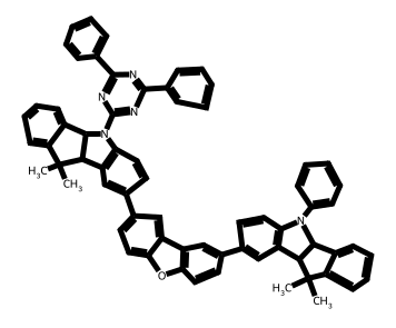 CC1(C)c2ccccc2C2C1c1cc(-c3ccc4oc5ccc(-c6ccc7c(c6)C6C(c8ccccc8C6(C)C)N7c6nc(-c7ccccc7)nc(-c7ccccc7)n6)cc5c4c3)ccc1N2c1ccccc1